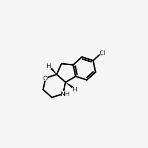 Clc1ccc2c(c1)C[C@H]1OCCN[C@@H]21